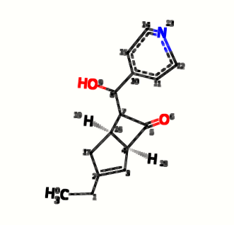 CCC1=C[C@@H]2C(=O)C(C(O)c3ccncc3)[C@@H]2C1